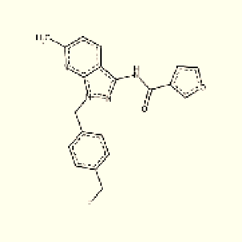 Cc1ccc2c(NC(=O)c3ccoc3)nn(Cc3ccc(CF)cc3)c2n1